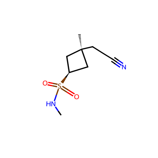 CNS(=O)(=O)[C@H]1C[C@@](C)(CC#N)C1